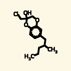 CCCC(C)Cc1ccc2c(c1)OCC(O)(CCl)O2